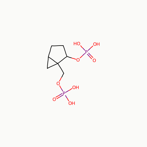 O=P(O)(O)OCC12CC1CCC2OP(=O)(O)O